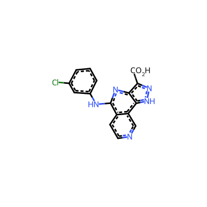 O=C(O)c1n[nH]c2c1nc(Nc1cccc(Cl)c1)c1ccncc12